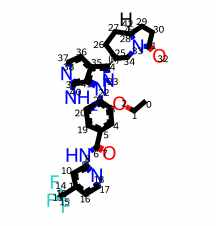 CCOc1cc(C(=O)Nc2cc(C(F)(F)F)ccn2)ccc1-n1nc([C@@H]2CC[C@H]3CCC(=O)N3C2)c2ccnc(N)c21